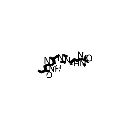 C=N/C(=C\C=C(/C)N1CCN(Cc2cnc3cc(CC)c(=O)[nH]c3c2)CC1)C1(NC)COC1